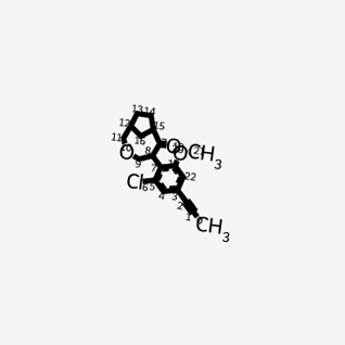 CC#Cc1cc(Cl)c(C2COCC3CCC(C3)C2=O)c(OC)c1